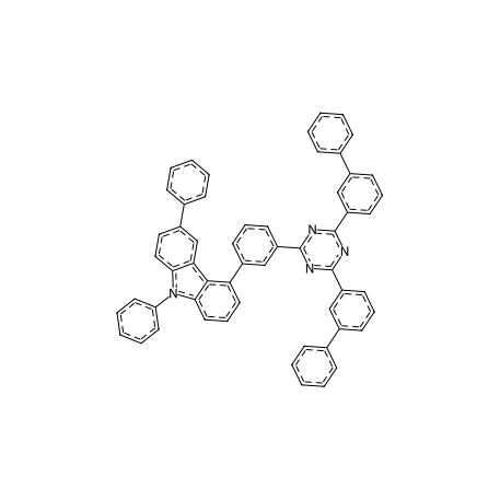 c1ccc(-c2cccc(-c3nc(-c4cccc(-c5ccccc5)c4)nc(-c4cccc(-c5cccc6c5c5cc(-c7ccccc7)ccc5n6-c5ccccc5)c4)n3)c2)cc1